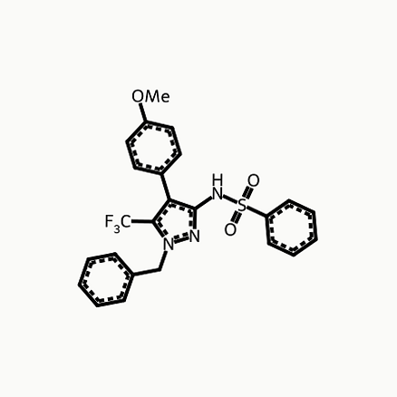 COc1ccc(-c2c(NS(=O)(=O)c3ccccc3)nn(Cc3ccccc3)c2C(F)(F)F)cc1